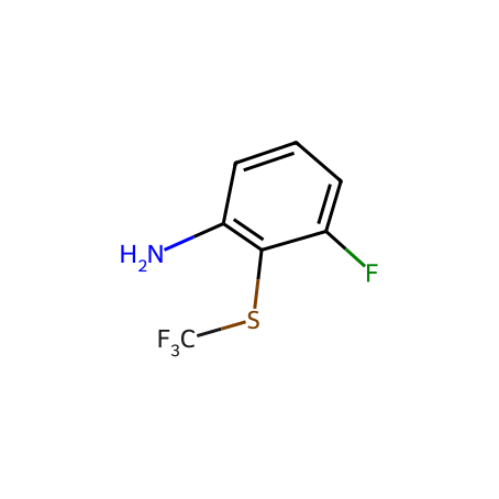 Nc1cccc(F)c1SC(F)(F)F